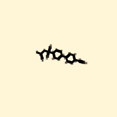 CC(=O)CS(=O)(=O)c1ccc(-c2ccc(C#N)cc2)cc1